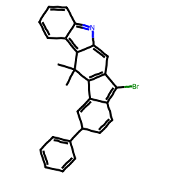 CC1(C)C2=C(C=C3N=c4ccccc4=C31)C(Br)=C1C=CC(c3ccccc3)C=C12